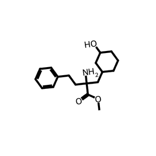 COC(=O)C(N)(CCc1ccccc1)CC1CCCC(O)C1